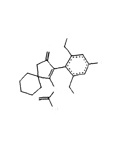 CCc1cc(C)cc(CC)c1C1=C(OC(C)=O)C2(CCCCC2)CC1=O